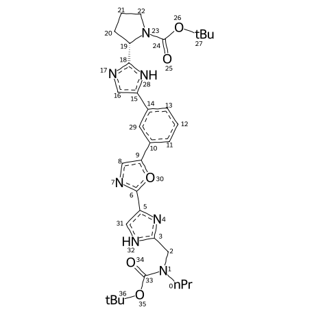 CCCN(Cc1nc(-c2ncc(-c3cccc(-c4cnc([C@@H]5CCCN5C(=O)OC(C)(C)C)[nH]4)c3)o2)c[nH]1)C(=O)OC(C)(C)C